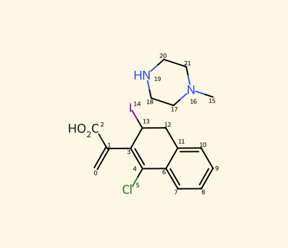 C=C(C(=O)O)C1=C(Cl)c2ccccc2CC1I.CN1CCNCC1